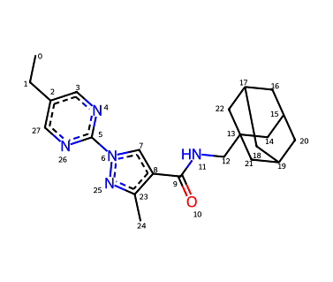 CCc1cnc(-n2cc(C(=O)NCC34CC5CC(CC(C5)C3)C4)c(C)n2)nc1